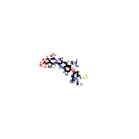 CC[C@@]1(O)C(=O)OCc2c1cc1n(c2=O)Cc2cc3c(CN(C)C)c(Oc4cc[n+](C)c(S)c4)ccc3nc2-1